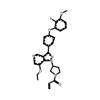 C=CC(=O)N1CCC(n2nc(-c3ccc(Oc4cccc(OC)c4F)cc3)c3cncc(OCC)c32)C1